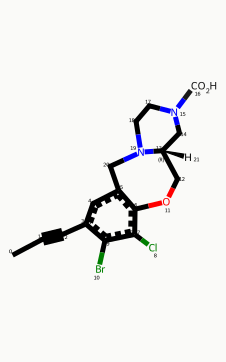 CC#Cc1cc2c(c(Cl)c1Br)OC[C@H]1CN(C(=O)O)CCN1C2